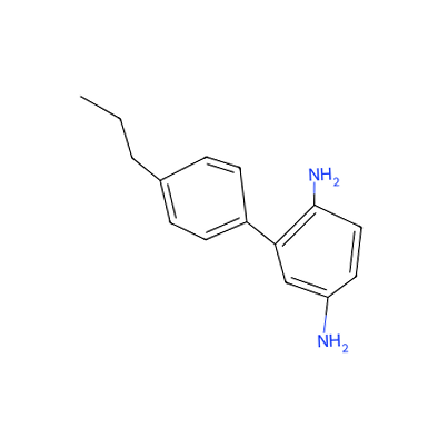 CCCc1ccc(-c2cc(N)ccc2N)cc1